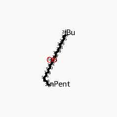 CCCCC/C=C\C/C=C\CCCCCCCC(=O)OCCCCCCCCCCCCC(C)CC